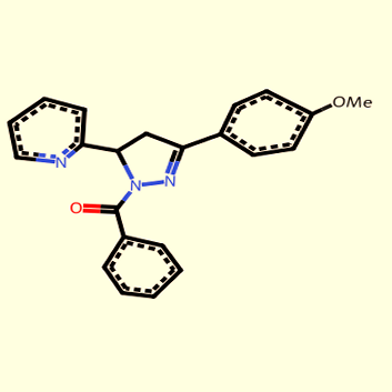 COc1ccc(C2=NN(C(=O)c3ccccc3)C(c3ccccn3)C2)cc1